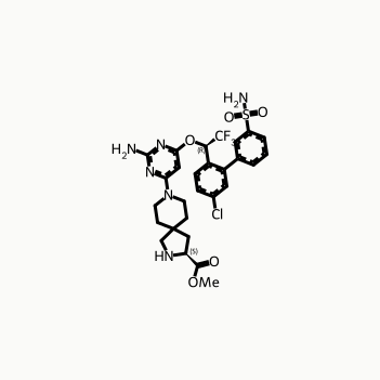 COC(=O)[C@@H]1CC2(CCN(c3cc(O[C@H](c4ccc(Cl)cc4-c4cccc(S(N)(=O)=O)c4)C(F)(F)F)nc(N)n3)CC2)CN1